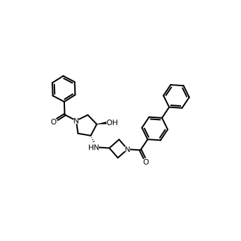 O=C(c1ccc(-c2ccccc2)cc1)N1CC(N[C@@H]2CN(C(=O)c3ccccc3)C[C@H]2O)C1